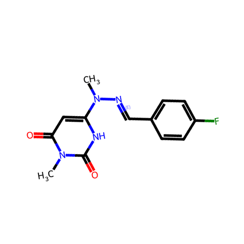 CN(/N=C/c1ccc(F)cc1)c1cc(=O)n(C)c(=O)[nH]1